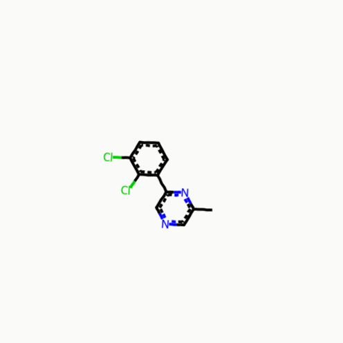 Cc1cncc(-c2cccc(Cl)c2Cl)n1